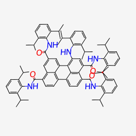 CC(C)c1cccc(C(C)C)c1NC(=O)c1cc2c(C(=O)Nc3c(C(C)C)cccc3C(C)C)ccc3c4ccc(C(=O)Nc5c(C(C)C)cccc5C(C)C)c5c(C(=O)Nc6c(C(C)C)cccc6C(C)C)cc(Nc6c(C(C)C)cccc6C(C)C)c(c(c1)c23)c54